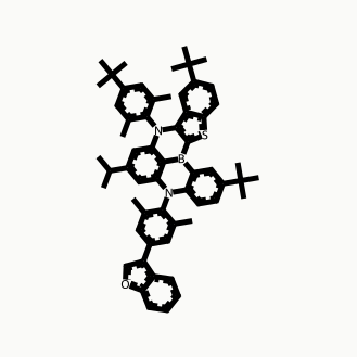 Cc1cc(-c2coc3ccccc23)cc(C)c1N1c2ccc(C(C)(C)C)cc2B2c3sc4ccc(C(C)(C)C)cc4c3N(c3c(C)cc(C(C)(C)C)cc3C)c3cc(C(C)C)cc1c32